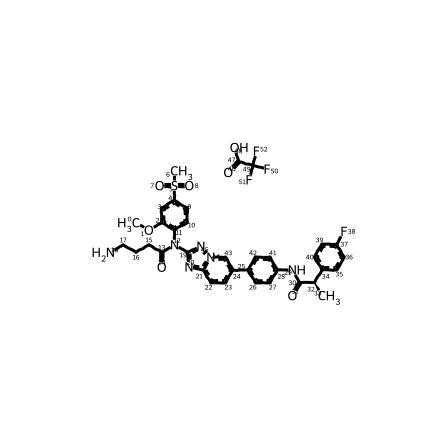 COc1cc(S(C)(=O)=O)ccc1N(C(=O)CCCN)c1nc2ccc(-c3ccc(NC(=O)[C@H](C)c4ccc(F)cc4)cc3)cn2n1.O=C(O)C(F)(F)F